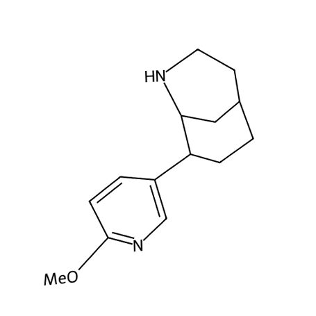 COc1ccc(C2CCC3CCNC2C3)cn1